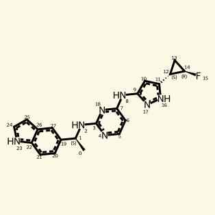 C[C@H](Nc1nccc(Nc2cc([C@@H]3C[C@H]3F)[nH]n2)n1)c1ccc2[nH]ccc2c1